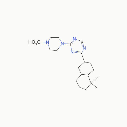 CC1(C)CCCC2CC(c3ncnc(N4CCN(C(=O)O)CC4)n3)CCC21